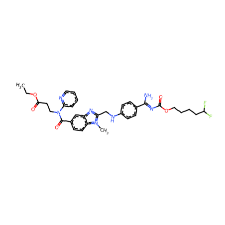 CCOC(=O)CCN(C(=O)c1ccc2c(c1)nc(CNc1ccc(/C(N)=N/C(=O)OCCCCC(F)F)cc1)n2C)c1ccccn1